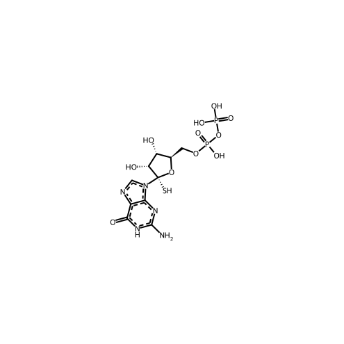 Nc1nc2c(ncn2[C@]2(S)O[C@H](COP(=O)(O)OP(=O)(O)O)[C@@H](O)[C@H]2O)c(=O)[nH]1